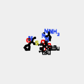 Cc1noc(-c2ccccc2)c1CSC[C@H]1O[C@@H](n2ccc3c(N)ncnc32)[C@H](O[Si](C)(C)C(C)(C)C)[C@@H]1O[Si](C)(C)C(C)(C)C